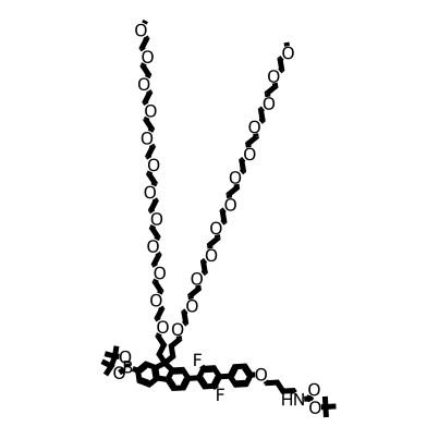 COCCOCCOCCOCCOCCOCCOCCOCCOCCOCCOCCOCCCC1(CCCOCCOCCOCCOCCOCCOCCOCCOCCOCCOCCOCCOC)c2cc(B3OC(C)(C)C(C)(C)O3)ccc2-c2ccc(-c3cc(F)c(-c4ccc(OCCCCNC(=O)OC(C)(C)C)cc4)cc3F)cc21